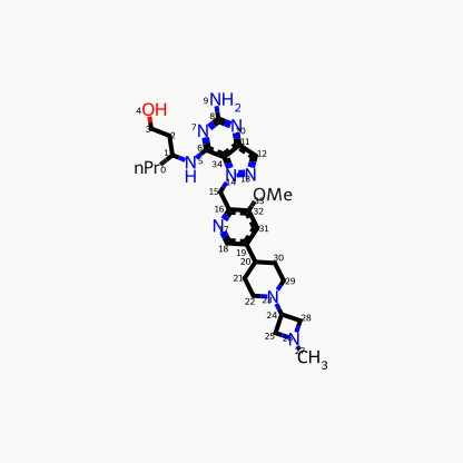 CCCC(CCO)Nc1nc(N)nc2cnn(Cc3ncc(C4CCN(C5CN(C)C5)CC4)cc3OC)c12